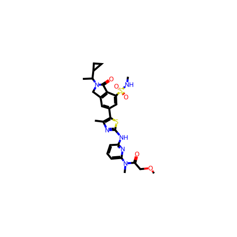 CNS(=O)(=O)c1cc(-c2sc(Nc3cccc(N(C)C(=O)COC)n3)nc2C)cc2c1C(=O)N(C(C)C1CC1)C2